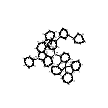 c1ccc(-c2cccc(-c3cccc(N(c4cccc5c4-c4ccccc4C54c5ccccc5-c5ccccc54)c4cccc5c4c4c6oc7ccccc7c6ccc4n5-c4ccccc4)c3)c2)cc1